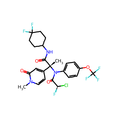 Cn1ccc([C@](C)(C(=O)NC2CCC(F)(F)CC2)N(C(=O)[C@H](F)Cl)c2ccc(OC(F)(F)F)cc2)cc1=O